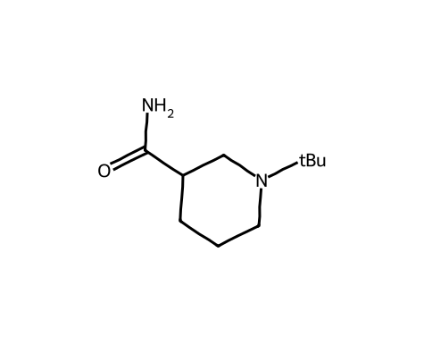 CC(C)(C)N1CCCC(C(N)=O)C1